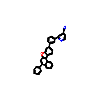 N#Cc1ccnc(-c2cccc(-c3ccc4c(c3)oc3cc(-c5ccccc5)c5ccccc5c34)c2)c1